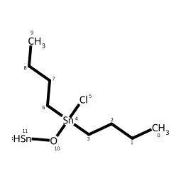 CCC[CH2][Sn]([Cl])([CH2]CCC)[O][SnH]